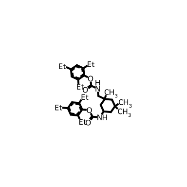 CCc1cc(CC)c(OC(=O)NCC2(C)CC(NC(=O)Oc3c(CC)cc(CC)cc3CC)CC(C)(C)C2)c(CC)c1